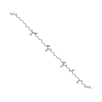 COCCCCCCCCCOC(=O)NCCCCCCCNC(=O)OCCCCCCCNC(=O)OCCOC(=O)CCCCC(=O)OCCOC